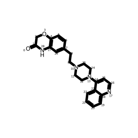 O=C1COc2ccc(CCN3CCN(c4ccnc5ccccc45)CC3)cc2N1